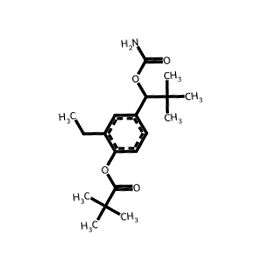 CCc1cc(C(OC(N)=O)C(C)(C)C)ccc1OC(=O)C(C)(C)C